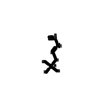 CC(C)(C)N=CC[Si](C)(C)C